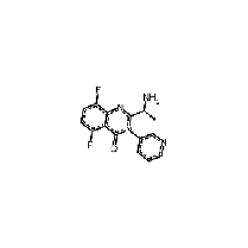 C[C@H](N)c1nc2c(F)ccc(F)c2c(=O)n1-c1cccnc1